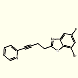 Fc1cc(Br)c2oc(CCC#Cc3ccccn3)nc2c1